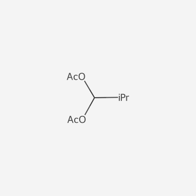 CC(=O)OC(OC(C)=O)C(C)C